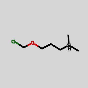 C[SiH](C)CCCOCCl